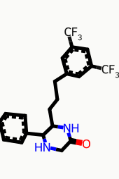 O=C1CNC(c2ccccc2)C(CCCc2cc(C(F)(F)F)cc(C(F)(F)F)c2)N1